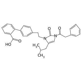 CC(C)Cc1cn(C(=O)Cc2ccccc2)c(=O)n1CCc1ccc(-c2ccccc2C(=O)O)cc1